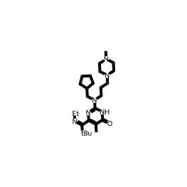 CC/N=C(\c1nc(N(CCCN2CCN(C)CC2)CC2CCCC2)[nH]c(=O)c1C)C(C)(C)C